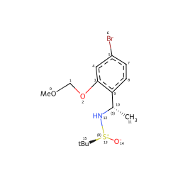 COCOc1cc(Br)ccc1[C@H](C)N[S@@+]([O-])C(C)(C)C